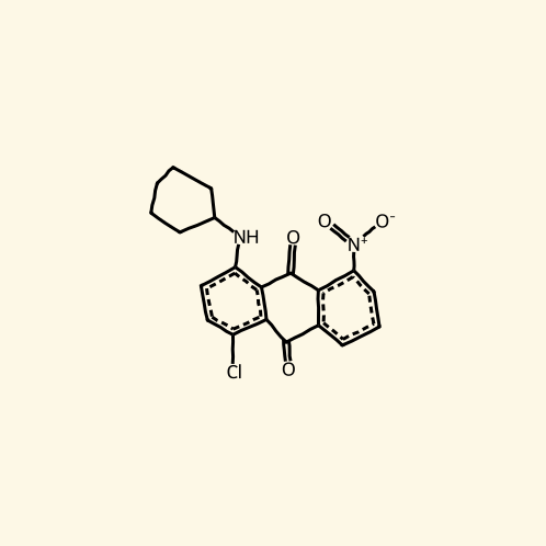 O=C1c2cccc([N+](=O)[O-])c2C(=O)c2c(NC3CCCCC3)ccc(Cl)c21